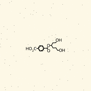 O=C(O)c1ccc(C(=O)OC(CCO)CCCO)cc1